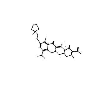 CC(=O)C1=C(O)C[C@@]2(C)C[C@@]3(C)Cc4c(C(C)C)cc(CCC5(C)CCCC5)c(O)c4C(=O)C3=C(O)[C@@]2(O)C1=O